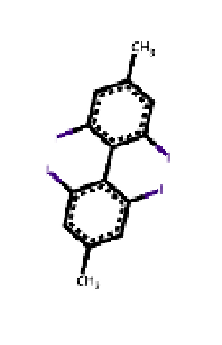 Cc1cc(I)c(-c2c(I)cc(C)cc2I)c(I)c1